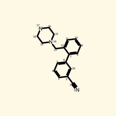 N#Cc1cccc(-c2ccccc2CN2CC[N]CC2)c1